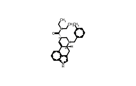 CCN(CC)C(=O)[C@H]1C=C2c3cccc4[nH]cc(c34)C[C@H]2N(Cc2cccc(C)c2)C1